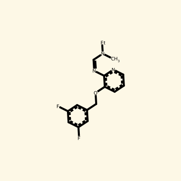 CCN(C)/C=N\c1ncccc1OCc1cc(F)cc(F)c1